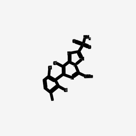 COc1nc(-c2c(Cl)ccc(C)c2Cl)c(Cl)c2nc(S(N)(=O)=O)nn12